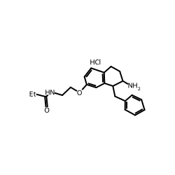 CCC(=O)NCCOc1ccc2c(c1)C(Cc1ccccc1)C(N)CC2.Cl